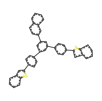 c1ccc2cc(-c3cc(-c4ccc(-c5cc6ccccc6s5)cc4)cc(-c4ccc(-c5cc6ccccc6s5)cc4)c3)ccc2c1